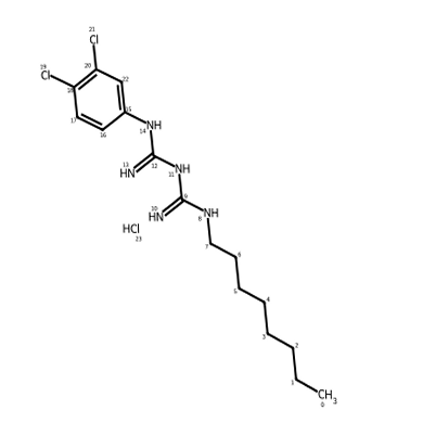 CCCCCCCCNC(=N)NC(=N)Nc1ccc(Cl)c(Cl)c1.Cl